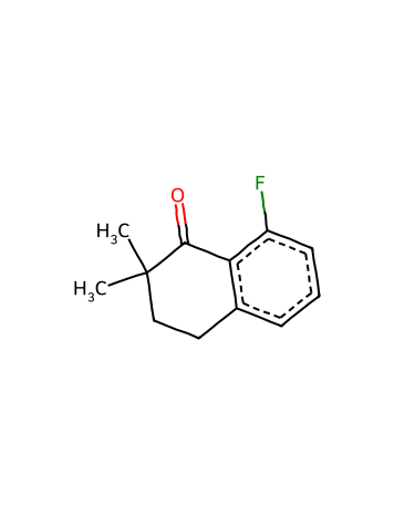 CC1(C)CCc2cccc(F)c2C1=O